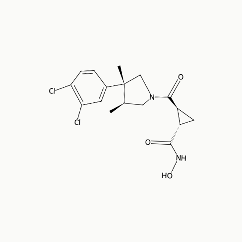 C[C@@H]1CN(C(=O)[C@H]2C[C@@H]2C(=O)NO)C[C@@]1(C)c1ccc(Cl)c(Cl)c1